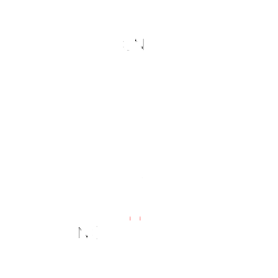 N#COC1CCCC(C#N)CC1